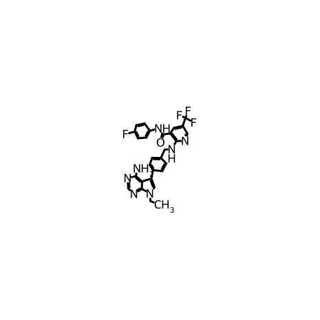 CCn1cc(-c2ccc(CNc3ncc(C(F)(F)F)cc3C(=O)Nc3ccc(F)cc3)cc2)c2c(N)ncnc21